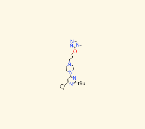 Cn1cnnc1OCCCN1CCN(c2cc(C3CCC3)nc(C(C)(C)C)n2)CC1